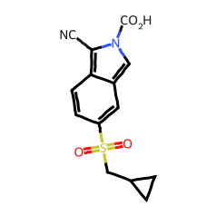 N#Cc1c2ccc(S(=O)(=O)CC3CC3)cc2cn1C(=O)O